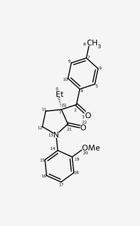 CC[C@@]1(C(=O)c2ccc(C)cc2)CCN(c2ccccc2OC)C1=O